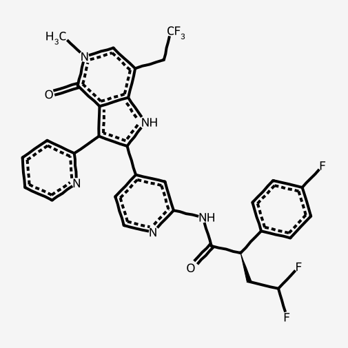 Cn1cc(CC(F)(F)F)c2[nH]c(-c3ccnc(NC(=O)[C@H](CC(F)F)c4ccc(F)cc4)c3)c(-c3ccccn3)c2c1=O